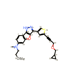 COCCN(C)c1ccc2c(c1)oc1c(-c3csc(C#CCOCC4CC4)c3)n[nH]c12